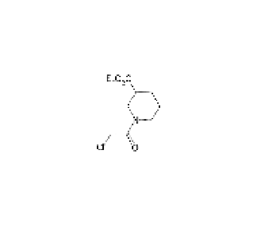 CCOC(=O)C1CCCN(C(=O)CCl)C1